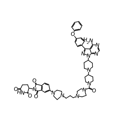 Nc1ncnc2c1c(-c1ccc(Oc3ccccc3)cc1)nn2C1CCN(C2CCN(C(=O)N3CCN(CCCN4CCN(c5ccc6c(c5)C(=O)N(C5CCC(=O)NC5=O)C6=O)CC4)CC3)CC2)CC1